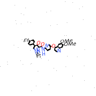 CCc1ccc(-c2cn(C(C)C)nc(C(=O)Nc3ccc(Oc4ccnc5cc(OC)c(OC)cc45)cn3)c2=O)cc1